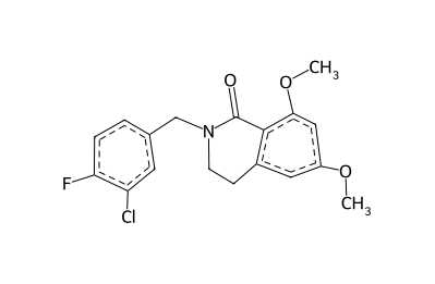 COc1cc2c(c(OC)c1)C(=O)N(Cc1ccc(F)c(Cl)c1)CC2